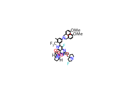 COc1ccc(CN(Cc2ccc(OC)cc2)c2cc(C)c(C(F)(F)F)c(-c3nc4c5c(nc(OC[C@@]67CCCN6C[C@H](F)C7)nc5c3F)N3C[C@H]5CC[C@@H]([C@H]3[C@H](C)O4)N5C(=O)OC(C)(C)C)c2)cc1